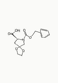 O=C(O)[C@@H]1CC2(CN1C(=O)OCc1ccccc1)OCCO2